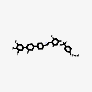 CCCCCc1ccc(C(F)(F)Oc2cc(F)c(/C=C/c3ccc(-c4ccc(-c5cc(F)c(F)c(F)c5)c(F)c4)cc3)c(F)c2)cc1